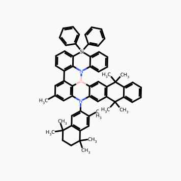 Cc1cc2c3c(c1)N(c1cc4c(cc1C)C(C)(C)CCC4(C)C)c1cc4c(cc1B3N1c3ccccc3[Si](c3ccccc3)(c3ccccc3)c3cccc-2c31)C(C)(C)c1ccccc1C4(C)C